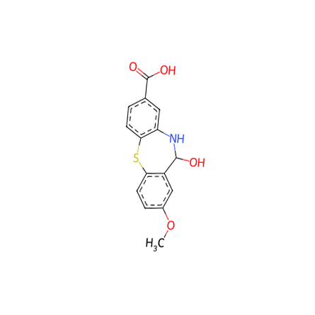 COc1ccc2c(c1)C(O)Nc1cc(C(=O)O)ccc1S2